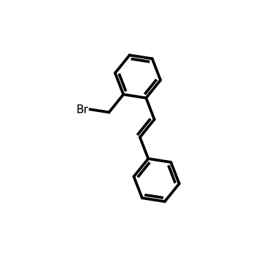 BrCc1ccccc1C=Cc1ccccc1